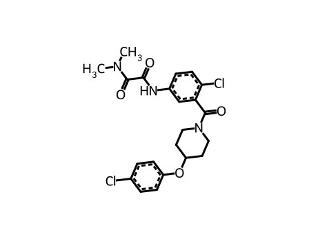 CN(C)C(=O)C(=O)Nc1ccc(Cl)c(C(=O)N2CCC(Oc3ccc(Cl)cc3)CC2)c1